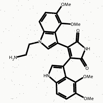 COc1ccc2[nH]cc(C3=C(c4cn(CCN)c5ccc(OC)c(OC)c45)C(=O)NC3=O)c2c1OC